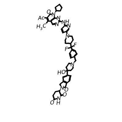 CC(=O)c1c(C)c2cnc(Nc3ccc(N4CCC(C(F)(F)c5ccc(CN6CCC(O)(c7ccc8c(c7)CN(C7CCC(=O)NC7=O)C8=O)CC6)cc5)CC4)cn3)nc2n(C2CCCC2)c1=O